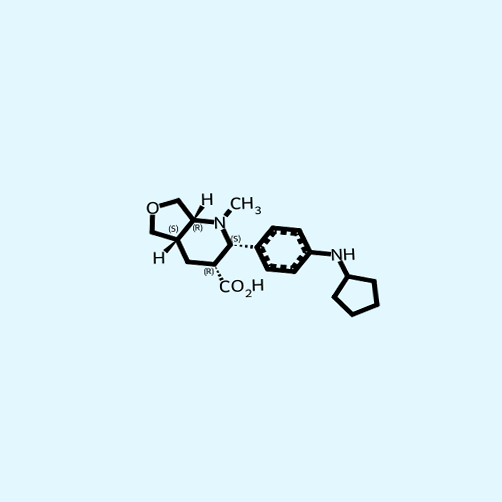 CN1[C@H](c2ccc(NC3CCCC3)cc2)[C@H](C(=O)O)C[C@@H]2COC[C@@H]21